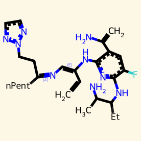 C=C/C(=C\N=C(\CCCCC)CCn1nccn1)Nc1nc(NC(CC)C(C)N)c(F)cc1C(=C)N